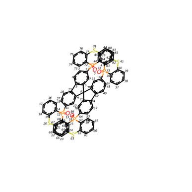 O=P1(c2ccc3c(c2)C2(c4cc(P5(=O)c6ccccc6Sc6ccccc65)ccc4-3)c3cc(P4(=O)c5ccccc5Sc5ccccc54)ccc3-c3ccc(P4(=O)c5ccccc5Sc5ccccc54)cc32)c2ccccc2Sc2ccccc21